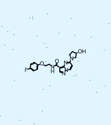 O=C(NCCOc1ccc(F)cc1)c1cnn2ccc(N3CC[C@@H](O)C3)nc12